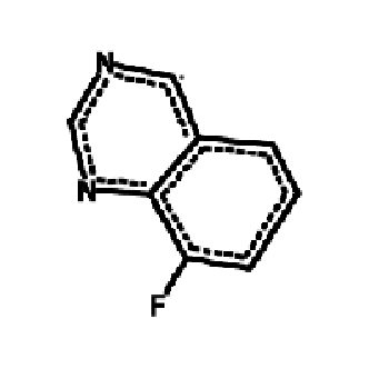 Fc1cccc2[c]ncnc12